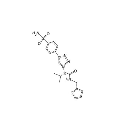 CC(C)[C@@H](C(=O)NCc1ccco1)n1cc(-c2ccc(S(N)(=O)=O)cc2)nn1